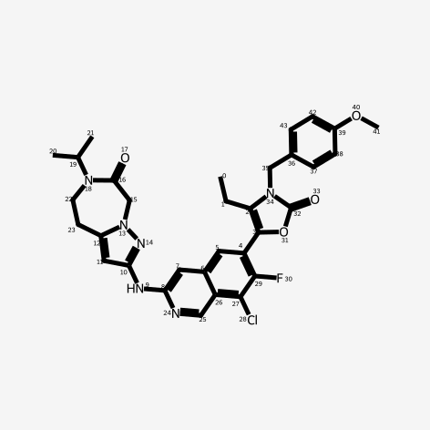 CCc1c(-c2cc3cc(Nc4cc5n(n4)CC(=O)N(C(C)C)CC5)ncc3c(Cl)c2F)oc(=O)n1Cc1ccc(OC)cc1